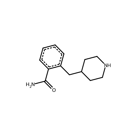 NC(=O)c1ccccc1CC1CCNCC1